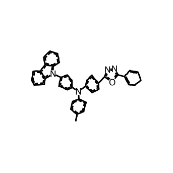 Cc1ccc(N(c2ccc(-c3nnc(C4=CCCC=C4)o3)cc2)c2ccc(-n3c4ccccc4c4ccccc43)cc2)cc1